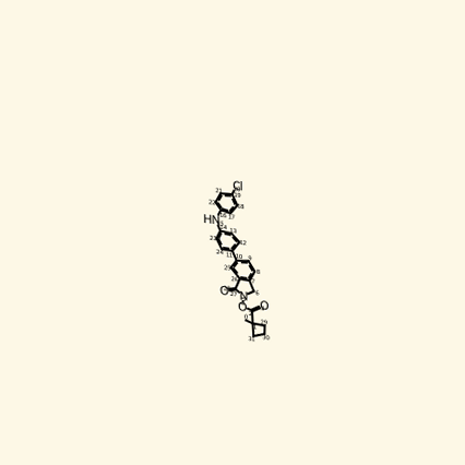 CC1(C(=O)ON2Cc3ccc(-c4ccc(Nc5ccc(Cl)cc5)cc4)cc3C2=O)CCC1